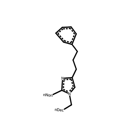 CCCCCCCCCCCn1cc(CCCc2ccccc2)nc1CCCCCCCCC